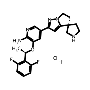 C[C@@H](Oc1cc(-c2cc3n(n2)CC[C@@]32CCNC2)cnc1N)c1c(F)cccc1F.[Cl-].[H+]